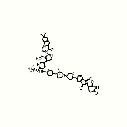 [2H]C([2H])([2H])Oc1ncc(-c2ccnc(N3CCn4c(cc5c4CC(C)(C)C5)C3=O)c2[C@@H](C)O)cc1Nc1ccc(N2CCN(C3CCN(c4ccc5c(c4)C(=O)N(C4CCC(=O)NC4=O)C5=O)[C@H](C)C3)C[C@@H]2C)cn1